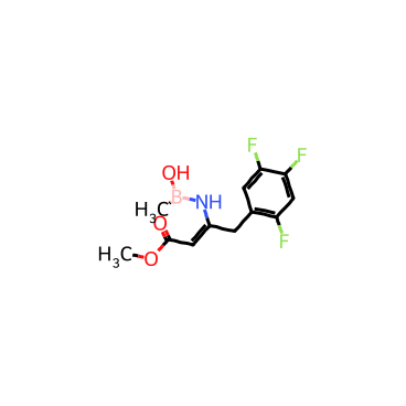 COC(=O)/C=C(/Cc1cc(F)c(F)cc1F)NB(C)O